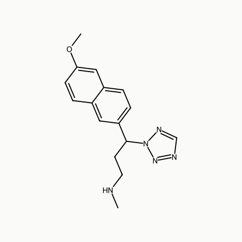 CNCCC(c1ccc2cc(OC)ccc2c1)n1ncnn1